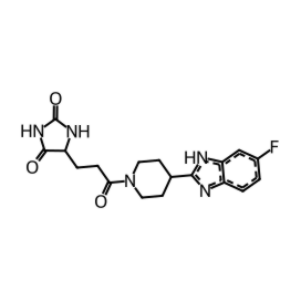 O=C1NC(=O)C(CCC(=O)N2CCC(c3nc4ccc(F)cc4[nH]3)CC2)N1